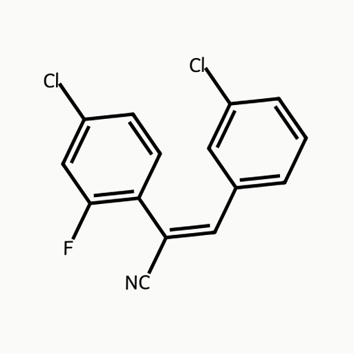 N#CC(=Cc1cccc(Cl)c1)c1ccc(Cl)cc1F